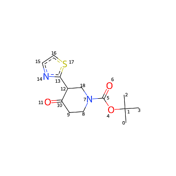 CC(C)(C)OC(=O)N1CCC(=O)C(c2nccs2)C1